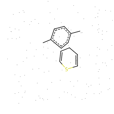 C1=CSC=CC1.Cc1ccc(C)cc1